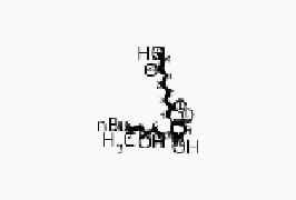 CCCC[C@H](C)C[C@H](O)C=C[C@H]1[C@H](O)CC(=O)[C@@H]1CC(=O)CCCCC(=O)CO